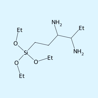 CCO[Si](CCC(N)C(N)CC)(OCC)OCC